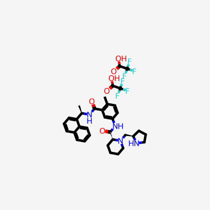 Cc1ccc(NC(=O)[C@H]2CCCCN2C[C@H]2CCCN2)cc1C(=O)N[C@H](C)c1cccc2ccccc12.O=C(O)C(F)(F)F.O=C(O)C(F)(F)F